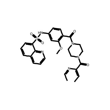 C/C=N\C(=C/C)C(=O)N1CCN(C(=O)c2ccc(NS(=O)(=O)c3cccc4cccnc34)cc2OC)CC1